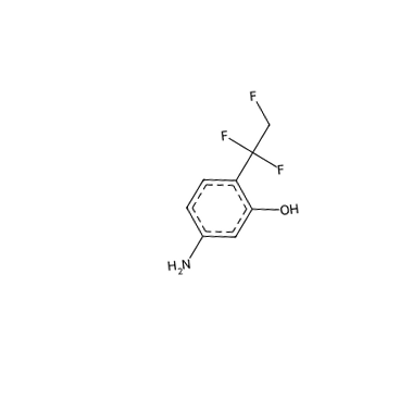 Nc1ccc(C(F)(F)CF)c(O)c1